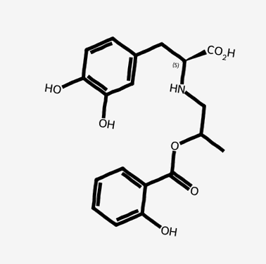 CC(CN[C@@H](Cc1ccc(O)c(O)c1)C(=O)O)OC(=O)c1ccccc1O